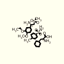 CCOc1cc([C@H](N)CS(C)(=O)=O)ccc1OC.Cc1ccc(S(N)(=O)=O)cc1.N[C@@H](Cc1ccccc1)C(=O)O